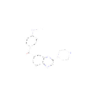 O=CNc1ccc(C(=O)c2ccc3ncc(N4CCNCC4)nc3c2)cc1